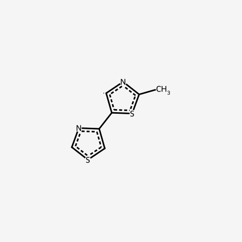 Cc1n[c]c(-c2cscn2)s1